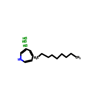 C1=CC=CNC=C1.CCCCCCCCC.Cl.Cl.Cl